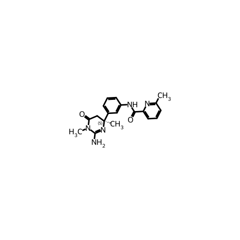 Cc1cccc(C(=O)Nc2cccc([C@]3(C)CC(=O)N(C)C(N)=N3)c2)n1